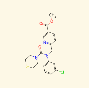 COC(=O)c1ccc(CN(C(=O)N2CCSCC2)c2cccc(Cl)c2)nc1